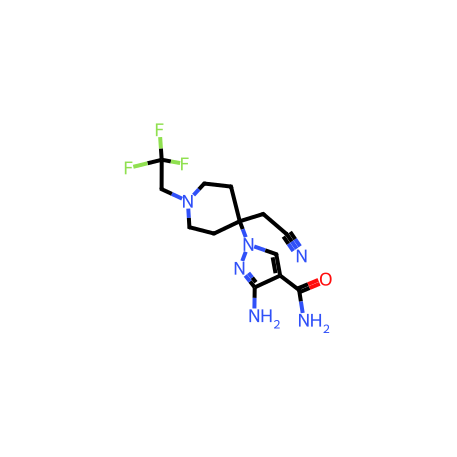 N#CCC1(n2cc(C(N)=O)c(N)n2)CCN(CC(F)(F)F)CC1